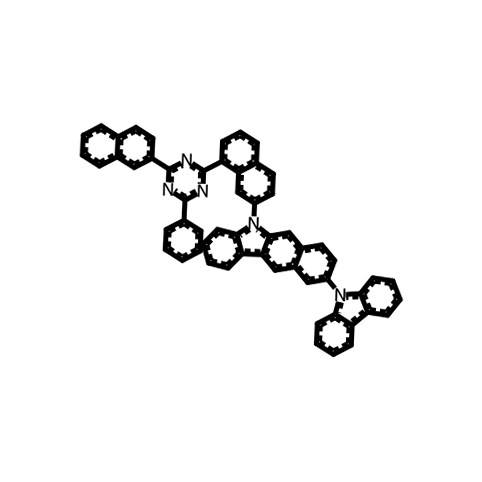 c1ccc(-c2nc(-c3ccc4ccccc4c3)nc(-c3cccc4ccc(-n5c6ccccc6c6cc7cc(-n8c9ccccc9c9ccccc98)ccc7cc65)cc34)n2)cc1